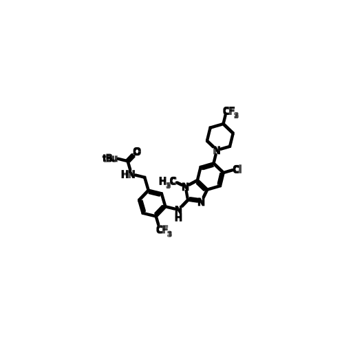 Cn1c(Nc2cc(CNC(=O)C(C)(C)C)ccc2C(F)(F)F)nc2cc(Cl)c(N3CCC(C(F)(F)F)CC3)cc21